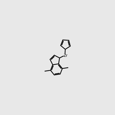 Cc1ccc(C)c2c1C=C[CH]2[Zr][CH]1C=CC=C1